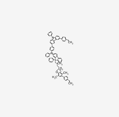 C=Cc1ccc(-c2ccc3c(c2)c2cc(-c4ccc(N(c5ccccc5)c5ccc6c(c5)C(CC(C)CCC(C)COc5cc(C)c(-c7ccc(C=C)cc7)cc5C)(c5ccccc5)c5ccccc5-6)cc4)ccc2n3-c2ccccc2)cc1